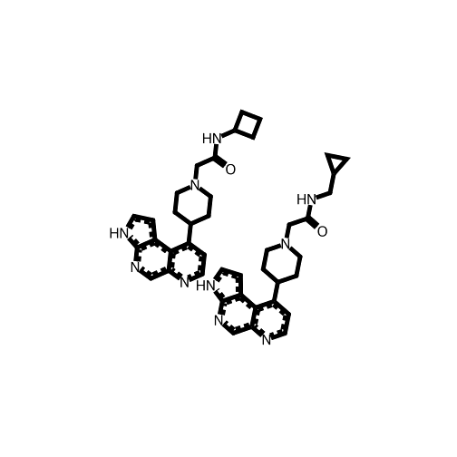 O=C(CN1CCC(c2ccnc3cnc4[nH]ccc4c23)CC1)NC1CCC1.O=C(CN1CCC(c2ccnc3cnc4[nH]ccc4c23)CC1)NCC1CC1